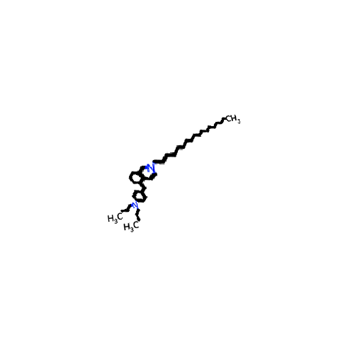 CCCCCCCCCCCCCCCCCCN1C=CC2=C(CCCC2=Cc2ccc(N(CCCC)CCCC)cc2)C1